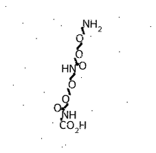 NCCOCCOCC(=O)NCCOCCOCC(=O)NCC(=O)O